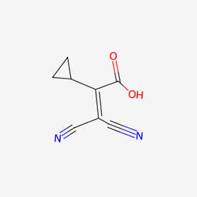 N#CC(C#N)=C(C(=O)O)C1CC1